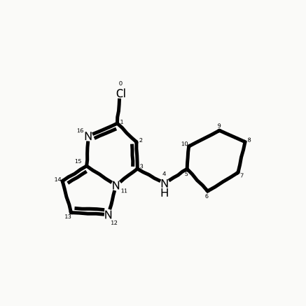 Clc1cc(NC2CCCCC2)n2nccc2n1